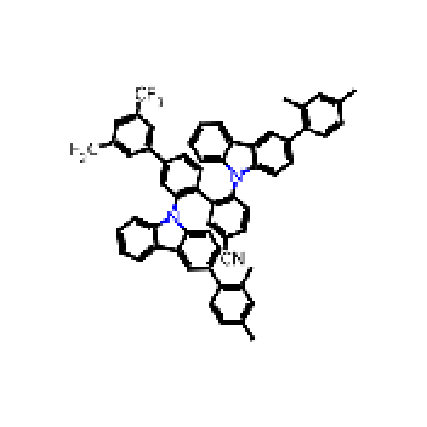 Cc1ccc(-c2ccc3c(c2)c2ccccc2n3-c2ccc(C#N)cc2-c2ccc(-c3cc(C(F)(F)F)cc(C(F)(F)F)c3)cc2-n2c3ccccc3c3cc(-c4ccc(C)cc4C)ccc32)c(C)c1